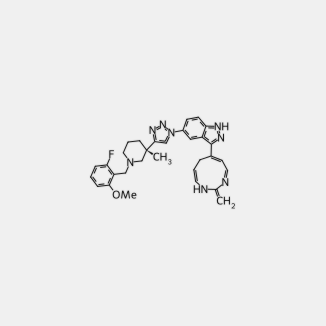 C=C1/N=C\C=C(\c2n[nH]c3ccc(-n4cc([C@@]5(C)CCCN(Cc6c(F)cccc6OC)C5)nn4)cc23)C/C=C\N1